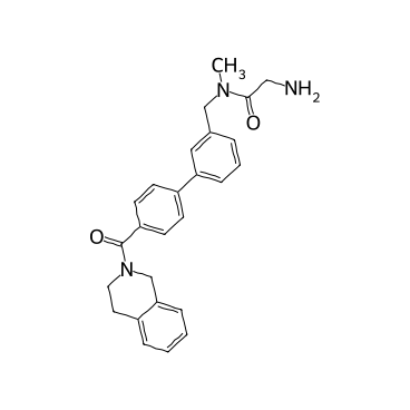 CN(Cc1cccc(-c2ccc(C(=O)N3CCc4ccccc4C3)cc2)c1)C(=O)CN